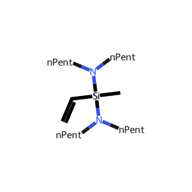 C=C[Si](C)(N(CCCCC)CCCCC)N(CCCCC)CCCCC